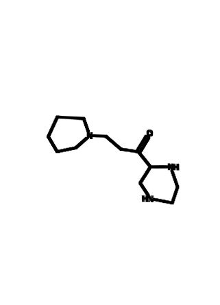 O=C(CCN1CCCCC1)C1CNCCN1